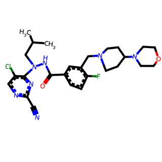 CC(C)CN(NC(=O)c1ccc(F)c(CN2CCC(N3CCOCC3)CC2)c1)c1nc(C#N)ncc1Cl